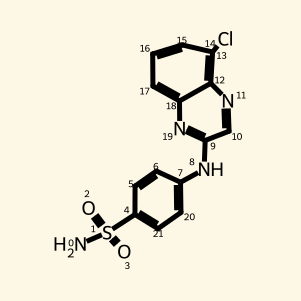 NS(=O)(=O)c1ccc(Nc2cnc3c(Cl)cccc3n2)cc1